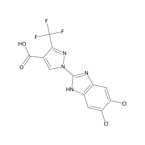 O=C(O)c1cn(-c2nc3cc(Cl)c(Cl)cc3[nH]2)nc1C(F)(F)F